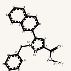 COC(=O)c1cc(-c2ccc3ccccc3c2)n(Cc2ccccc2)n1